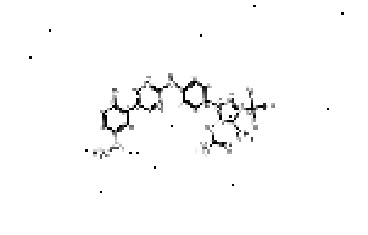 COc1ccc(F)c(-c2cnc(Oc3ccc(N4N=C(C(F)(F)F)[C@@H](C)[C@@H]4CC(=O)O)cc3)nc2)c1